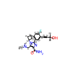 CC(C)N(C)Cc1c(C(N)=O)nc2n1C1CC(C1)c1cc(F)c(C#CC(C)(C)O)cc1-2